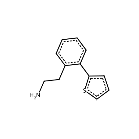 NCCc1ccccc1-c1cc[c]s1